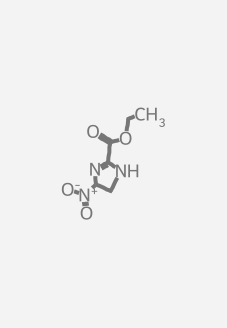 CCOC(=O)C1=NC([N+](=O)[O-])CN1